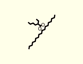 CCCCCCCCCC(CCCCCCCC)OC(=O)C(CC)CCCC